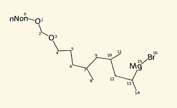 CCCCCCCCCOCOCCCC(C)CC(C)C[CH](C)[Mg][Br]